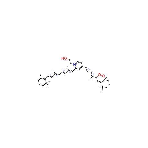 CC1=C(/C=C/C(C)=C/C=C/C(C)=C/c2cc(/C=C/C=C(\C)C3C=C4C(C)(C)CCCC4(C)OO3)cc[n+]2CCO)C(C)(C)CCC1